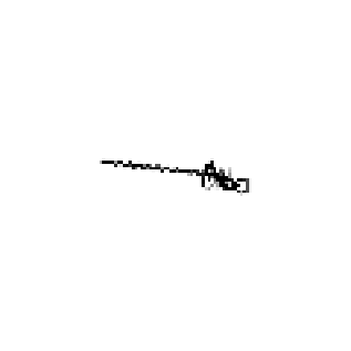 CCCCCCCCCCCCCCCCCCCCCCc1cc(C)cc(-n2nc3ccc(Cl)cc3n2)c1O